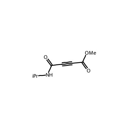 COC(=O)C#CC(=O)NC(C)C